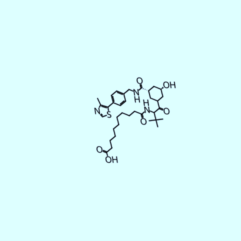 Cc1ncsc1-c1ccc(CNC(=O)[C@H]2CC(C(=O)C(NC(=O)CCCCCCCCCC(=O)O)C(C)(C)C)C[C@H](O)C2)cc1